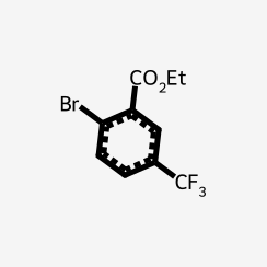 CCOC(=O)c1cc(C(F)(F)F)ccc1Br